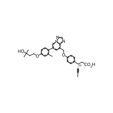 CC#C[C@@H](CC(=O)O)c1ccc(OCc2cc(-c3ccc(OCCC(C)(C)O)cc3C)cn3ncnc23)cc1